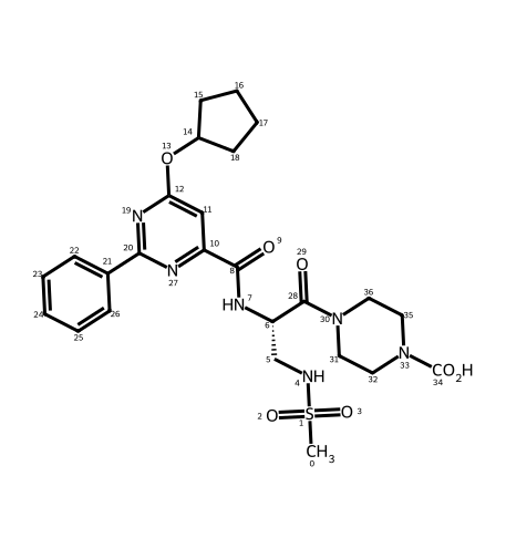 CS(=O)(=O)NC[C@H](NC(=O)c1cc(OC2CCCC2)nc(-c2ccccc2)n1)C(=O)N1CCN(C(=O)O)CC1